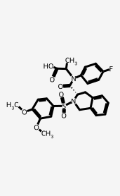 COc1ccc(S(=O)(=O)N2Cc3ccccc3C[C@H]2C(=O)N(c2ccc(F)cc2)C(C)C(=O)O)cc1OC